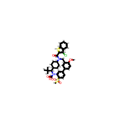 COc1ccc(-c2ccc(S(C)(=O)=O)cc2)cc1CN(C(=O)c1sc2ccccc2c1Cl)C1CCC(C(NC(=O)O)C(C)(C)C)CC1